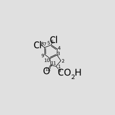 O=C(O)C1Cc2cc(Cl)c(Cl)cc2C1=O